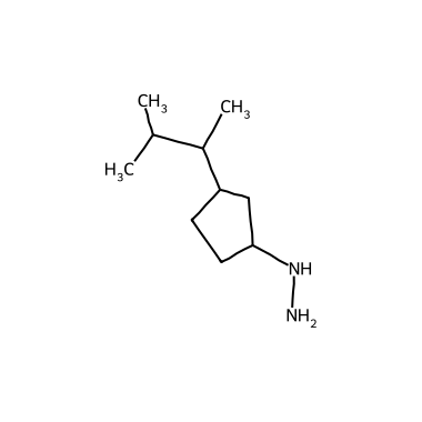 CC(C)C(C)C1CCC(NN)C1